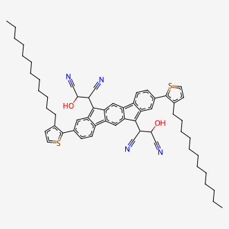 CCCCCCCCCCCCc1ccsc1-c1ccc2c(c1)=C(C(C#N)C(O)C#N)c1cc3c(cc1=2)C(C(C#N)C(O)C#N)=c1cc(-c2sccc2CCCCCCCCCCCC)ccc1=3